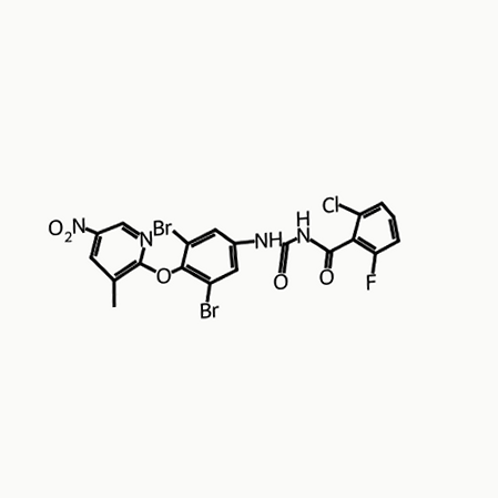 Cc1cc([N+](=O)[O-])cnc1Oc1c(Br)cc(NC(=O)NC(=O)c2c(F)cccc2Cl)cc1Br